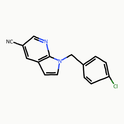 N#Cc1cnc2c(ccn2Cc2ccc(Cl)cc2)c1